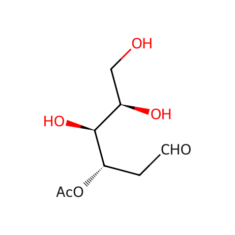 CC(=O)O[C@@H](CC=O)[C@@H](O)[C@H](O)CO